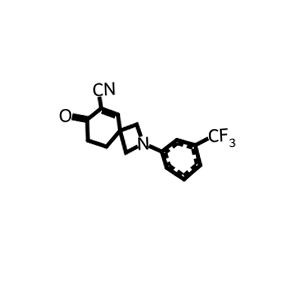 N#CC1=CC2(CCC1=O)CN(c1cccc(C(F)(F)F)c1)C2